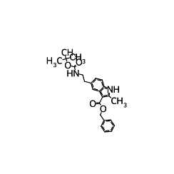 Cc1[nH]c2ccc(CCNC(=O)OC(C)(C)C)cc2c1C(=O)OCc1ccccc1